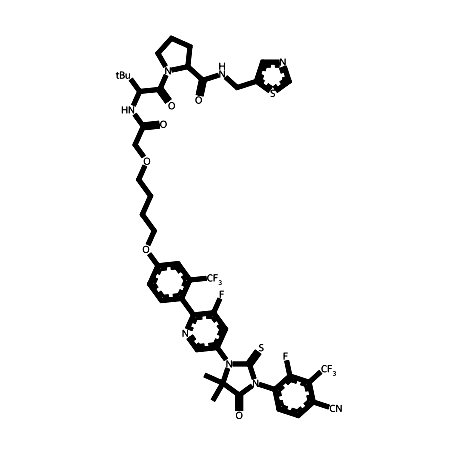 CC(C)(C)C(NC(=O)COCCCCOc1ccc(-c2ncc(N3C(=S)N(c4ccc(C#N)c(C(F)(F)F)c4F)C(=O)C3(C)C)cc2F)c(C(F)(F)F)c1)C(=O)N1CCCC1C(=O)NCc1cncs1